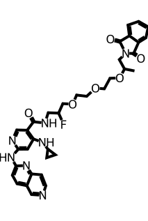 CC(CN1C(=O)c2ccccc2C1=O)OCCOCCOCC(F)CNC(=O)c1cnc(Nc2ccc3cnccc3n2)cc1NC1CC1